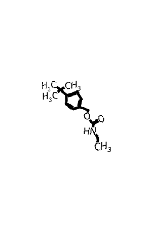 CCNC(=O)OCc1ccc(C(C)(C)C)cc1